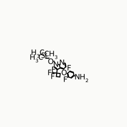 C[Si](C)(C)CCOCn1cc(C2(C(F)(F)F)CCC2)c2c(Oc3c(F)cc(N)cc3F)ccnc21